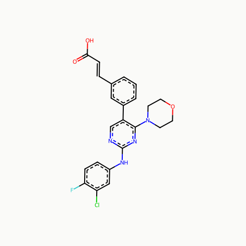 O=C(O)C=Cc1cccc(-c2cnc(Nc3ccc(F)c(Cl)c3)nc2N2CCOCC2)c1